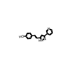 Oc1ccc(/C=C/c2cc(-c3cccnc3)n[nH]2)cc1